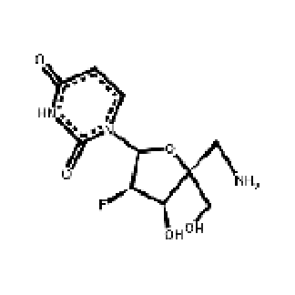 NC[C@]1(CO)OC(n2ccc(=O)[nH]c2=O)[C@H](F)[C@@H]1O